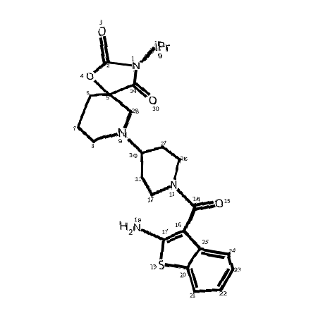 CC(C)N1C(=O)OC2(CCCN(C3CCN(C(=O)c4c(N)sc5ccccc45)CC3)C2)C1=O